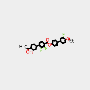 CCOc1ccc(-c2ccc(OC(=O)c3ccc(C4CCC(C(C)O)CC4)c(F)c3F)cc2)cc1F